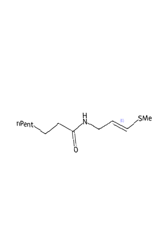 CCCCCCCC(=O)NC/C=C/SC